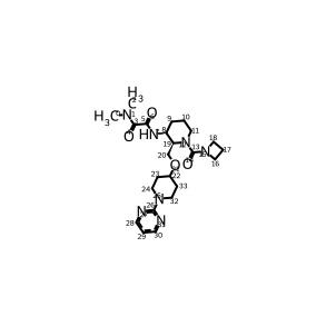 CN(C)C(=O)C(=O)N[C@H]1CCCN(C(=O)N2CCC2)[C@H]1COC1CCN(c2ncccn2)CC1